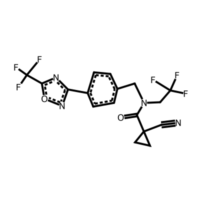 N#CC1(C(=O)N(Cc2ccc(-c3noc(C(F)(F)F)n3)cc2)CC(F)(F)F)CC1